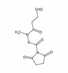 CN(OC(=O)N1C(=O)CCC1=O)C(=O)CCC=O